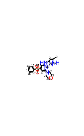 Cc1cc(Nc2cc(S(=O)(=O)c3ccccc3)cc(N3CCOCC3)n2)n[nH]1